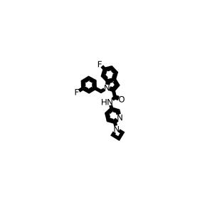 O=C(Nc1ccc(N2CCC2)nc1)c1cc2ccc(F)cc2n1Cc1cccc(F)c1